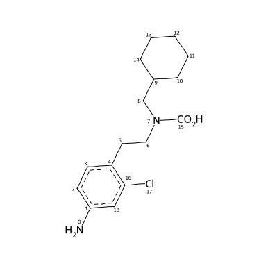 Nc1ccc(CCN(CC2CCCCC2)C(=O)O)c(Cl)c1